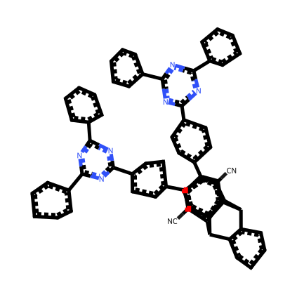 N#Cc1c(-c2ccc(-c3nc(-c4ccccc4)nc(-c4ccccc4)n3)cc2)ccc2c1C1c3ccccc3C2c2c1ccc(-c1ccc(-c3nc(-c4ccccc4)nc(-c4ccccc4)n3)cc1)c2C#N